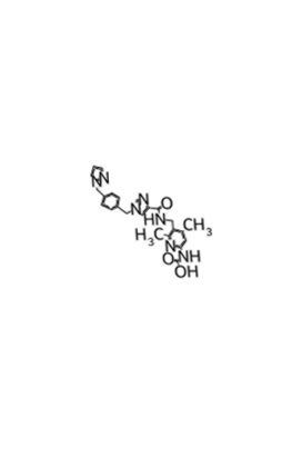 Cc1cc(NC(=O)O)nc(C)c1CNC(=O)c1cn(Cc2ccc(Cn3cccn3)cc2)cn1